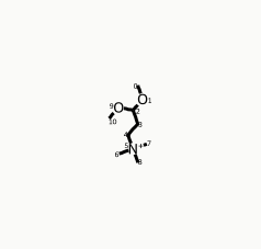 COC(CC[N+](C)(C)C)OC